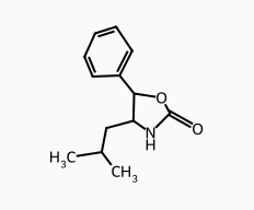 CC(C)CC1NC(=O)OC1c1ccccc1